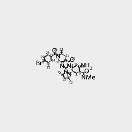 CNC(=O)c1ccc(-n2c(-n3nc(C)cc3C)nc3c(c2=O)CC(C)N(C(=O)c2ccc(Br)c(C)c2)C3)cc1N